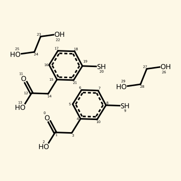 O=C(O)Cc1cccc(S)c1.O=C(O)Cc1cccc(S)c1.OCCO.OCCO